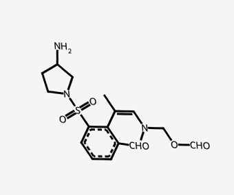 C/C(=C/N(C)COC=O)c1c(C=O)cccc1S(=O)(=O)N1CCC(N)C1